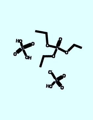 CCOP(=O)(OCC)OCC.O=S(=O)(O)Cl.O=S(=O)(O)O